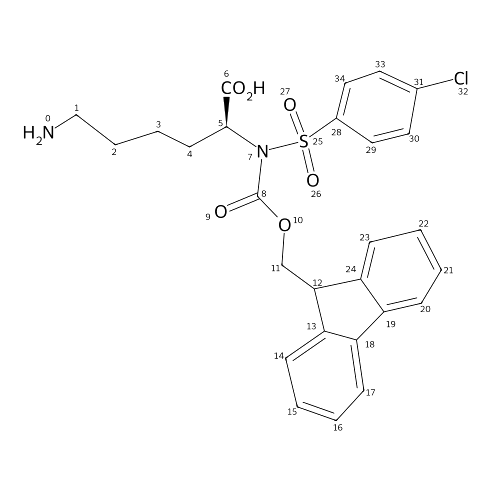 NCCCC[C@@H](C(=O)O)N(C(=O)OCC1c2ccccc2-c2ccccc21)S(=O)(=O)c1ccc(Cl)cc1